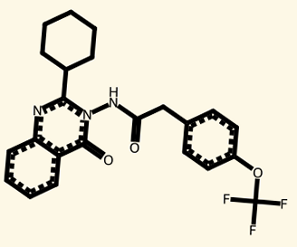 O=C(Cc1ccc(OC(F)(F)F)cc1)Nn1c(C2CCCCC2)nc2ccccc2c1=O